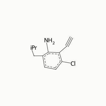 C#Cc1c(Cl)ccc(CC(C)C)c1N